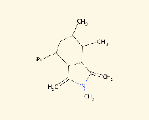 C=C1C2C(C)C(C)CC(C(C)C)C2C(=C)N1C